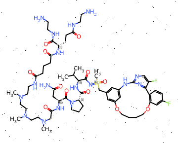 CC(C)[C@H](NC(=O)[C@@H]1CCCN1C(=O)[C@H](CC(N)=O)NC(=O)CN(C)CCN(C)CCN(C)CCNC(=O)CCCC(=O)N[C@@H](CCC(=O)NCCN)C(=O)NCCN)C(=O)N=[S@@](C)(=O)Cc1cc2cc(c1)OCCCCOc1cc(F)ccc1-c1nc(ncc1F)N2